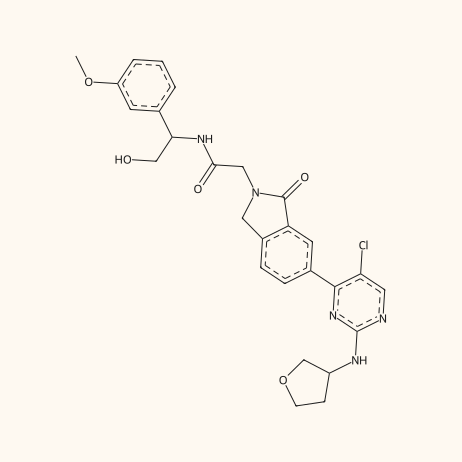 COc1cccc(C(CO)NC(=O)CN2Cc3ccc(-c4nc(NC5CCOC5)ncc4Cl)cc3C2=O)c1